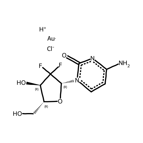 Nc1ccn([C@@H]2O[C@H](CO)[C@@H](O)C2(F)F)c(=O)n1.[Au].[Cl-].[H+]